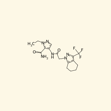 CCn1ncc(NC(=O)Cn2nc(C(F)(F)F)c3c2CCCC3)c1C(N)=O